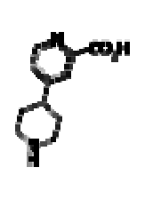 O=C(O)c1cc(C2CCNCC2)ccn1